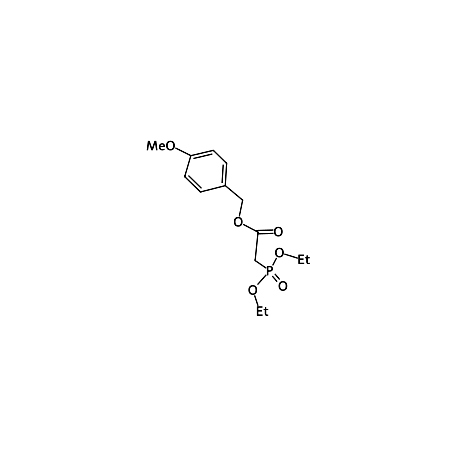 CCOP(=O)(CC(=O)OCc1ccc(OC)cc1)OCC